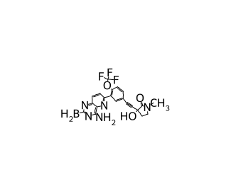 Bc1nc(N)c2nc(-c3cc(C#CC4(O)CCN(C)C4=O)ccc3OC(F)(F)F)ccc2n1